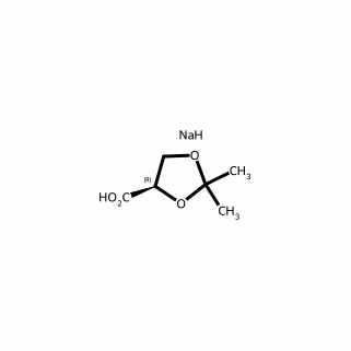 CC1(C)OC[C@H](C(=O)O)O1.[NaH]